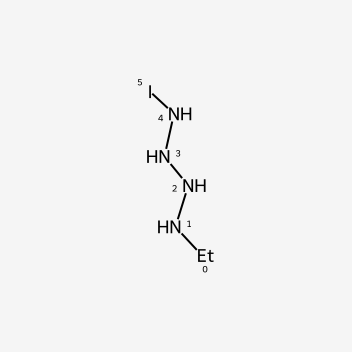 CCNNNNI